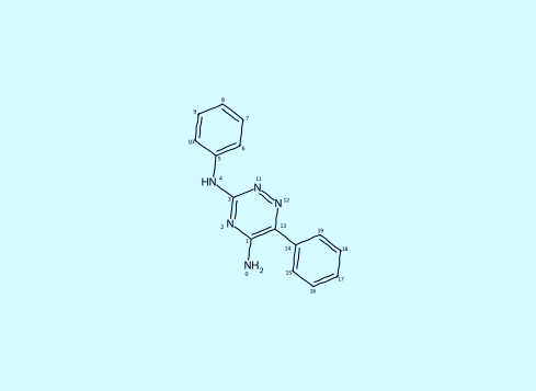 Nc1nc(Nc2ccccc2)nnc1-c1ccccc1